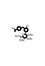 [2H]C(=C)c1ccc(Cc2cc([C@@H]3O[C@H](COC(C)=O)[C@@H](OC(C)=O)[C@H](OC(C)=O)[C@H]3OC(C)=O)ccc2Cl)cc1